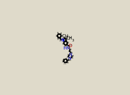 Cc1c(C)n(Cc2ccccc2)c2ccc(C(=O)NCCCN3CCN(Cc4ccccc4)CC3)cc12